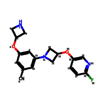 N#Cc1cc(OC2CNC2)cc(N2CC(Oc3ccc(F)nc3)C2)c1